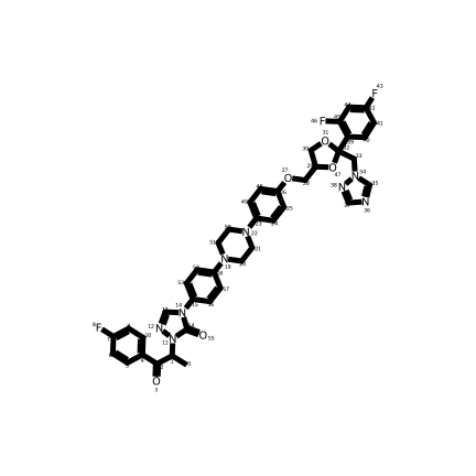 CC(C(=O)c1ccc(F)cc1)n1ncn(-c2ccc(N3CCN(c4ccc(OCC5COC(Cn6cncn6)(c6ccc(F)cc6F)O5)cc4)CC3)cc2)c1=O